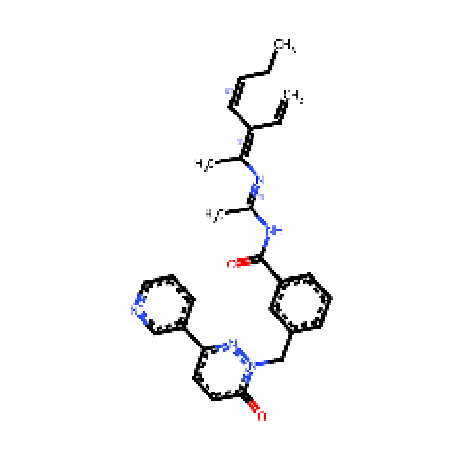 C=CC(/C=C\CC)=C(C)\N=C(/C)NC(=O)c1cccc(Cn2nc(-c3cccnc3)ccc2=O)c1